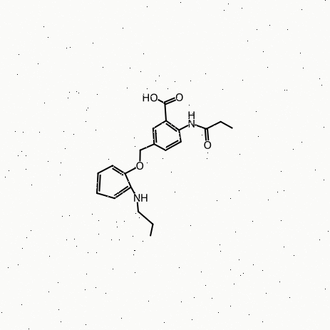 CCCNc1ccccc1OCc1ccc(NC(=O)CC)c(C(=O)O)c1